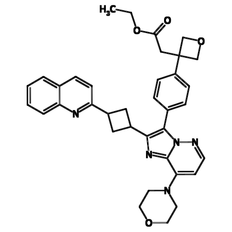 CCOC(=O)CC1(c2ccc(-c3c(C4CC(c5ccc6ccccc6n5)C4)nc4c(N5CCOCC5)ccnn34)cc2)COC1